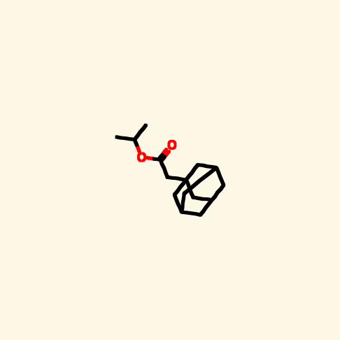 CC(C)OC(=O)CC12CC3CC(CC(C3)C1)C2